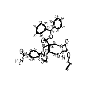 C=CCOC1C(=O)N2CC(COc3ccc(C(N)=O)cc3)(C(=O)OC(c3ccccc3)c3ccccc3)C(NC=O)S[C@H]12